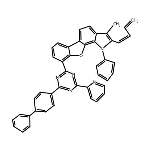 C=C/C=C\c1c(C)c2ccc3c4cccc(-c5nc(-c6ccc(-c7ccccc7)cc6)nc(-c6ccccn6)n5)c4oc3c2n1-c1ccccc1